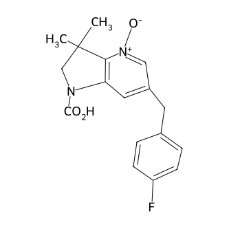 CC1(C)CN(C(=O)O)c2cc(Cc3ccc(F)cc3)c[n+]([O-])c21